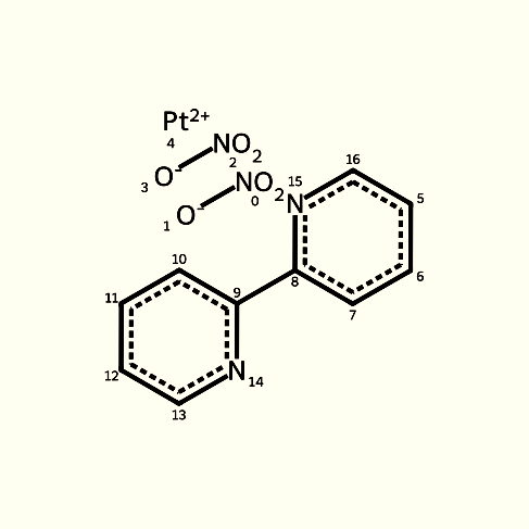 O=[N+]([O-])[O-].O=[N+]([O-])[O-].[Pt+2].c1ccc(-c2ccccn2)nc1